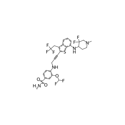 CN1CCC(Nc2cccc3c(CC(F)(F)F)c(C#CCNc4ccc(S(N)(=O)=O)cc4OC(F)F)sc23)C(F)(F)C1